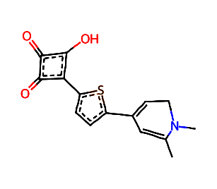 CC1=CC(c2ccc(-c3c(O)c(=O)c3=O)s2)=CCN1C